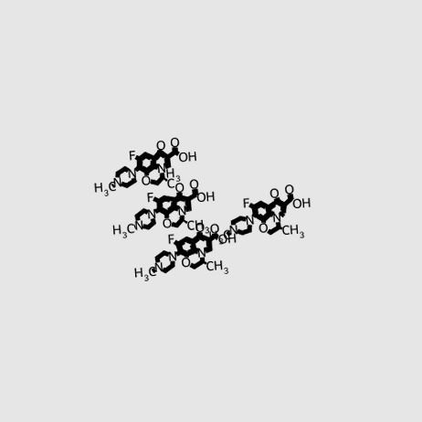 C[C@H]1COc2c(N3CCN(C)CC3)c(F)cc3c(=O)c(C(=O)O)cn1c23.C[C@H]1COc2c(N3CCN(C)CC3)c(F)cc3c(=O)c(C(=O)O)cn1c23.C[C@H]1COc2c(N3CCN(C)CC3)c(F)cc3c(=O)c(C(=O)O)cn1c23.C[C@H]1COc2c(N3CCN(C)CC3)c(F)cc3c(=O)c(C(=O)O)cn1c23